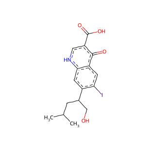 CC(C)CC(CO)c1cc2[nH]cc(C(=O)O)c(=O)c2cc1I